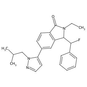 CCN1C(=O)c2ccc(-c3ccnn3CC(C)C)cc2C1C(F)c1ccccc1